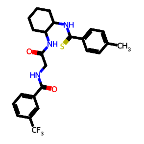 Cc1ccc(C(=S)NC2CCCCC2NC(=O)CNC(=O)c2cccc(C(F)(F)F)c2)cc1